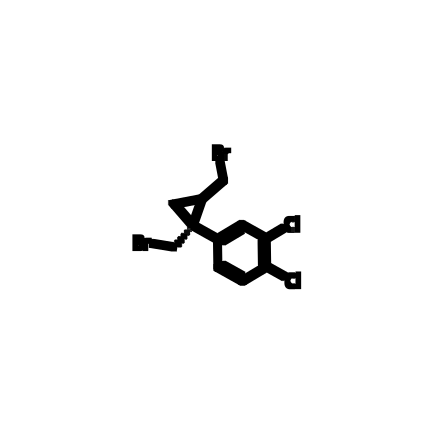 Clc1ccc([C@@]2(CBr)CC2CBr)cc1Cl